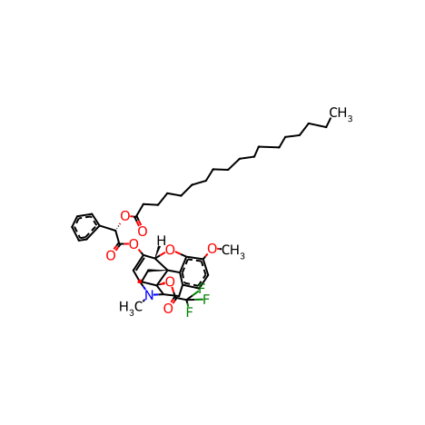 CCCCCCCCCCCCCCCCCC(=O)O[C@H](C(=O)OC1=CC[C@@]2(OC(=O)C(F)(F)F)C3Cc4ccc(OC)c5c4[C@@]2(CCN3C)[C@H]1O5)c1ccccc1